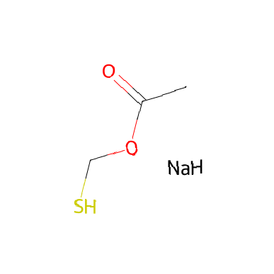 CC(=O)OCS.[NaH]